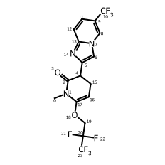 CN1C(=O)C(c2cn3cc(C(F)(F)F)ccc3n2)CC=C1OCC(F)(F)C(F)(F)F